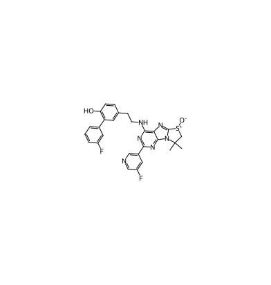 CC1(C)C[S+]([O-])c2nc3c(NCCc4ccc(O)c(-c5cccc(F)c5)c4)nc(-c4cncc(F)c4)nc3n21